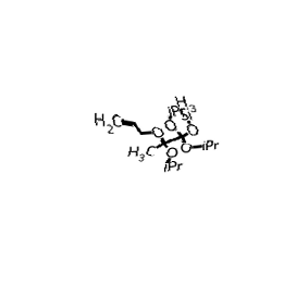 C=CCOC(C)(OC(C)C)C(O[SiH3])(OC(C)C)OC(C)C